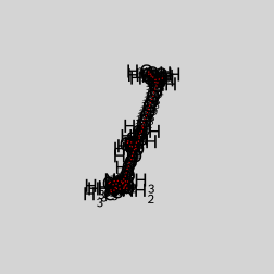 CCn1nc(C)cc1C(=O)Nc1nc2cc(C(N)=O)cc(OC)c2n1-n1c(NC(=O)c2cc(C)nn2CC)nc2cc(C(N)=O)cc(OCCCOC(=O)COCCOCCOCCNC(=O)CC[C@H](NC(=O)CN3C(=O)CC(S)C3=O)C(=O)NCC(=O)NCC(=O)NCC(=O)NCC(=O)NCCOCCOCCOCCOCCOCCOCCOCCON[C@@H](CCC(=O)NO)C(=O)NC[C@H](O)[C@@H](O)[C@H](O)[C@H](O)CO)c21